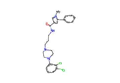 CCCn1cc(C(=O)NCCCN2CCN(c3cccc(Cl)c3Cl)CC2)cc1-c1ccccc1